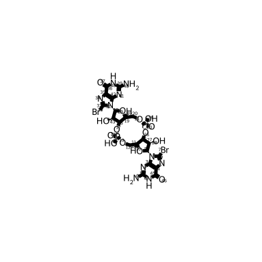 Nc1nc2c(nc(Br)n2[C@@H]2O[C@@H]3COP(=O)(O)OC4[C@@H](COP(=O)(O)OC3[C@@H]2O)O[C@@H](n2c(Br)nc3c(=O)[nH]c(N)nc32)[C@H]4O)c(=O)[nH]1